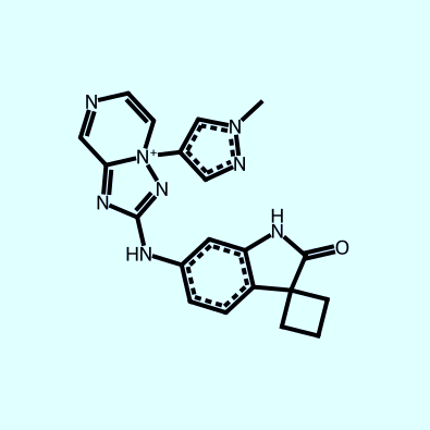 Cn1cc([N+]23C=CN=CC2=NC(Nc2ccc4c(c2)NC(=O)C42CCC2)=N3)cn1